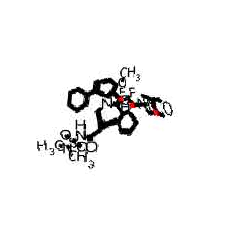 COc1ccc(C2CCCCC2)c2c1cc1n2CC2=C(C(=O)NS(=O)(=O)N(C)C)C2=C2C=CC[C@@H](C(=O)N3CC45COCC4(CN(CC(F)(F)F)C5)C3)[C@@H]21